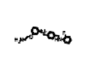 NCCOc1cccc(NCc2ccc(CNc3ccccc3F)cc2)c1